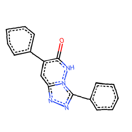 O=c1[nH]n2c(-c3ccccc3)nnc2cc1-c1ccccc1